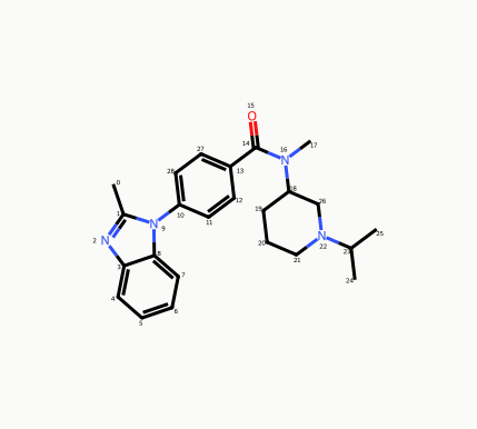 Cc1nc2ccccc2n1-c1ccc(C(=O)N(C)C2CCCN(C(C)C)C2)cc1